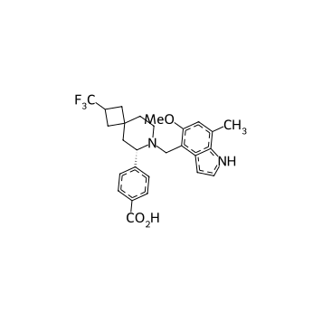 COc1cc(C)c2[nH]ccc2c1CN1CCC2(CC(C(F)(F)F)C2)C[C@H]1c1ccc(C(=O)O)cc1